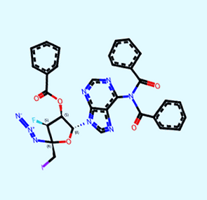 [N-]=[N+]=N[C@@]1(CI)O[C@@H](n2cnc3c(N(C(=O)c4ccccc4)C(=O)c4ccccc4)ncnc32)[C@H](OC(=O)c2ccccc2)[C@@H]1F